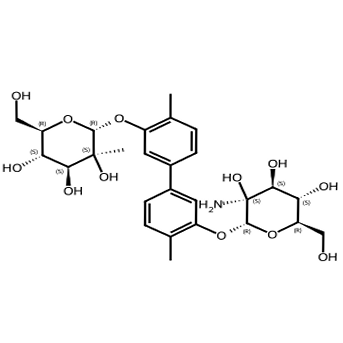 Cc1ccc(-c2ccc(C)c(O[C@H]3O[C@H](CO)[C@@H](O)[C@H](O)[C@]3(N)O)c2)cc1O[C@H]1O[C@H](CO)[C@@H](O)[C@H](O)[C@]1(C)O